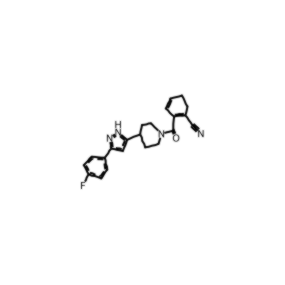 N#CC1=C(C(=O)N2CCC(c3cc(-c4ccc(F)cc4)n[nH]3)CC2)C=CCC1